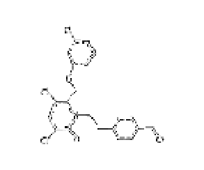 O=Cc1ccc(CCn2c(COc3cccc(Cl)c3)c(Cl)cc(Cl)c2=O)cc1